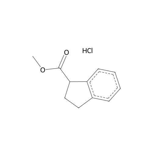 COC(=O)C1CCc2ccccc21.Cl